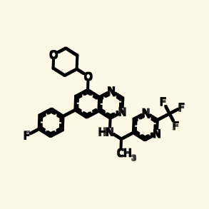 CC(Nc1ncnc2c(OC3CCOCC3)cc(-c3ccc(F)cc3)cc12)c1cnc(C(F)(F)F)nc1